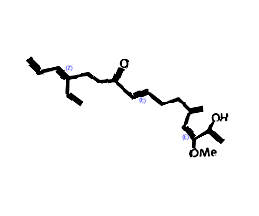 C=C/C=C(\C=C)CCC(=O)/C=C/CCC(=C)/C=C(/OC)C(=C)O